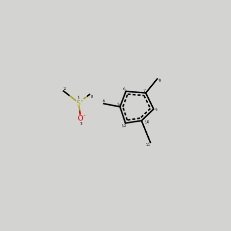 C[S+](C)[O-].Cc1cc(C)cc(C)c1